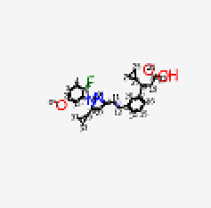 COc1ccc(F)c(-n2nc(/C=C/c3cccc(C(CC(=O)O)C4CC4)c3)cc2C2CC2)c1